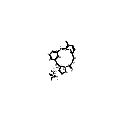 Cc1ccc2nc1Oc1cccc(c1)C[C@H]1[C@@H](NS(C)(=O)=O)CCN1C(=O)CC2